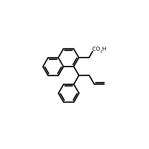 C=CCC(c1ccccc1)c1c(CC(=O)O)ccc2ccccc12